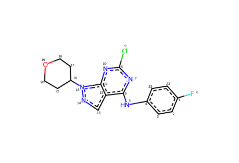 Fc1ccc(Nc2nc(Cl)nc3c2cnn3C2CCOCC2)cc1